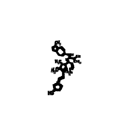 C\C=C/C(=N\C(NC1=CCc2ccn(C)c2C=C1)=C(/C)CC)N1C=C(CCN2CCC(O)C2)C(C)N1C